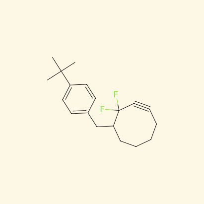 CC(C)(C)c1ccc(CC2CCCCC#CC2(F)F)cc1